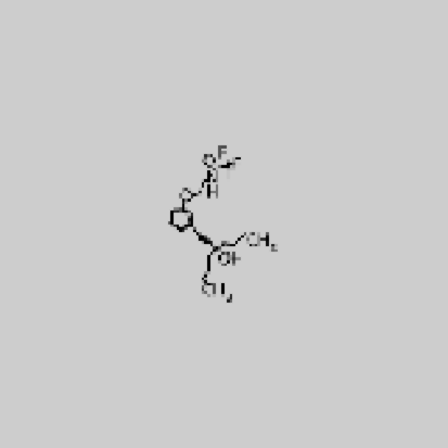 CCCCC(O)(C#Cc1cccc(OCCNC(=O)C(F)(F)F)c1)CCCC